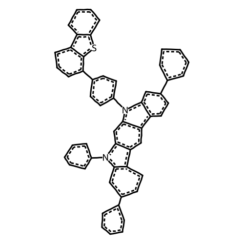 c1ccc(-c2ccc3c4cc5c6ccc(-c7ccccc7)cc6n(-c6ccc(-c7cccc8c7sc7ccccc78)cc6)c5cc4n(-c4ccccc4)c3c2)cc1